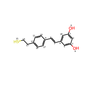 Oc1cc(O)cc(/C=C/c2ccc(CCS)cc2)c1